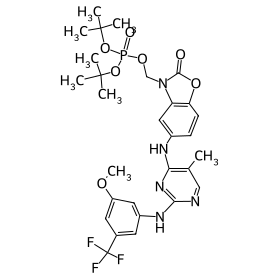 COc1cc(Nc2ncc(C)c(Nc3ccc4oc(=O)n(COP(=O)(OC(C)(C)C)OC(C)(C)C)c4c3)n2)cc(C(F)(F)F)c1